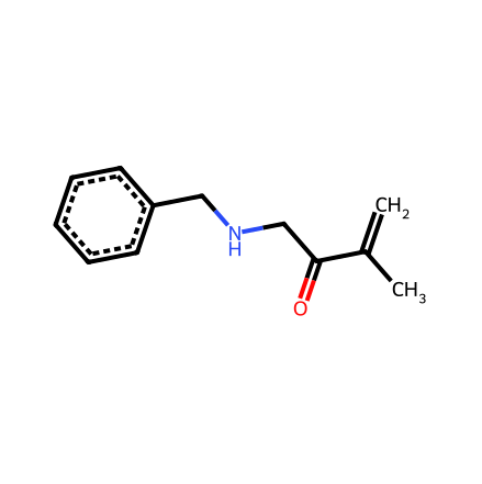 C=C(C)C(=O)CNCc1ccccc1